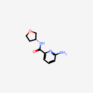 Nc1cccc(C(=O)N[C@@H]2CCOC2)n1